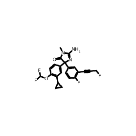 CN1C(=O)C(c2ccc(F)c(C#CCF)c2)(c2ccc(OC(F)F)c(C3CC3)c2)N=C1N